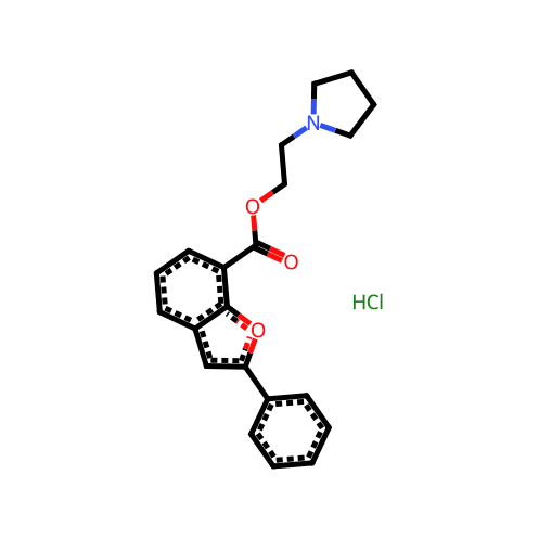 Cl.O=C(OCCN1CCCC1)c1cccc2cc(-c3ccccc3)oc12